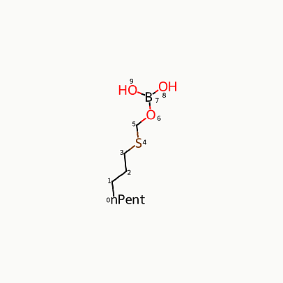 CCCCCCCCSCOB(O)O